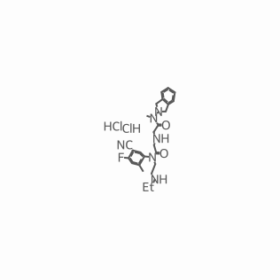 CCNCCN(C(=O)CNCC(=O)N(C)N1Cc2ccccc2C1)c1cc(C#N)c(F)cc1C.Cl.Cl